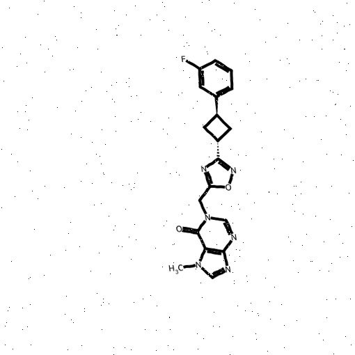 Cn1cnc2ncn(Cc3nc([C@H]4C[C@H](c5cccc(F)c5)C4)no3)c(=O)c21